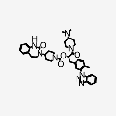 Cc1ccc(C[C@@H](OC(=O)N2CCC(N3CCc4ccccc4NC3=O)CC2)C(=O)N2CCC(N(C)C)CC2)cc1-n1nnc2ccccc21